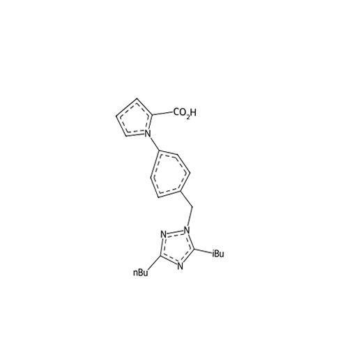 CCCCc1nc(C(C)CC)n(Cc2ccc(-n3cccc3C(=O)O)cc2)n1